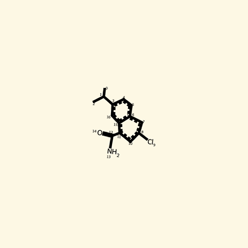 CC(C)c1ccc2cc(Cl)cc(C(N)=O)c2c1